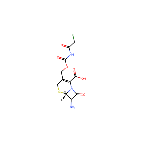 NC1C(=O)N2C(C(=O)O)=C(COC(=O)NC(=O)CCl)CS[C@@H]12